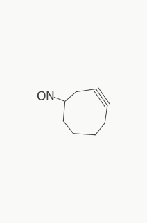 O=NC1CC#CCCCC1